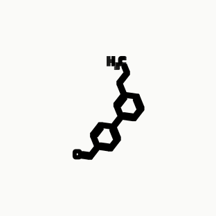 CCCc1cccc(-c2ccc(C=O)cc2)c1